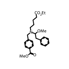 CCOC(=O)CCCCN(Cc1ccc(C(=O)OC)cc1)C(Cc1ccccc1)OC